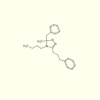 CCCCN1C(CCCc2ccccc2)=NOC1(C)Cc1ccccc1